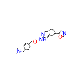 CN(C)Cc1ccc(COCNc2cc3cc(-c4cnco4)ccc3cn2)cc1